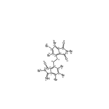 N=C1c2c(Br)c(Br)c(Br)c(CCc3c(Br)c(Br)c(Br)c4c3C(=O)N(Br)C4=O)c2C(=O)N1Br